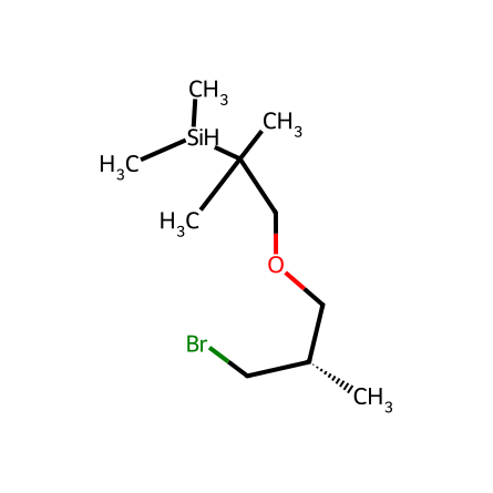 C[C@H](CBr)COCC(C)(C)[SiH](C)C